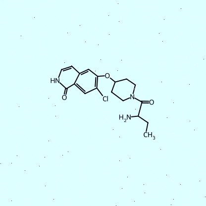 CCC(N)C(=O)N1CCC(Oc2cc3cc[nH]c(=O)c3cc2Cl)CC1